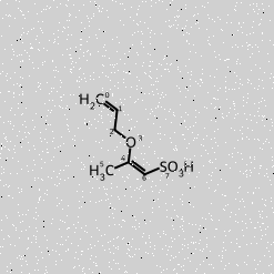 C=CCOC(C)=CS(=O)(=O)O